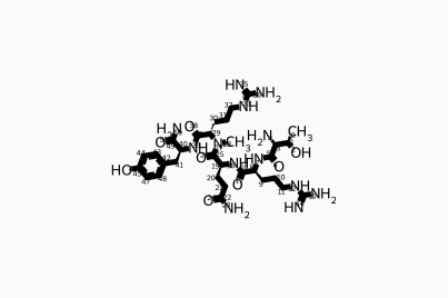 C[C@@H](O)[C@H](N)C(=O)N[C@@H](CCCNC(=N)N)C(=O)N[C@@H](CCC(N)=O)C(=O)N(C)[C@@H](CCCNC(=N)N)C(=O)N[C@@H](Cc1ccc(O)cc1)C(N)=O